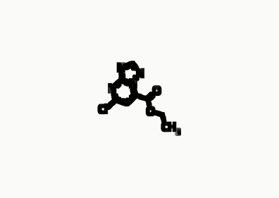 CCOC(=O)c1cc(Cl)nc2ncnn12